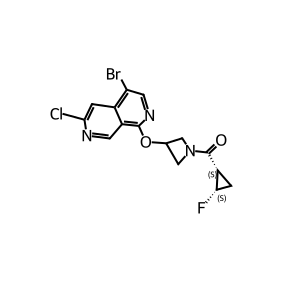 O=C([C@@H]1C[C@@H]1F)N1CC(Oc2ncc(Br)c3cc(Cl)ncc23)C1